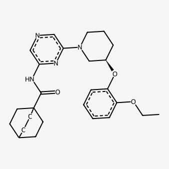 CCOc1ccccc1O[C@@H]1CCCN(c2cncc(NC(=O)C34CCC(CC3)CC4)n2)C1